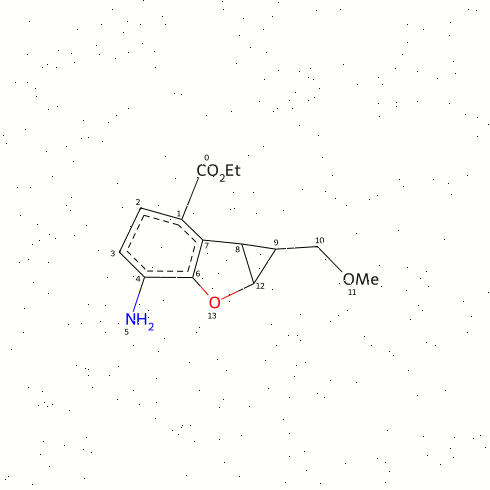 CCOC(=O)c1ccc(N)c2c1C1C(COC)C1O2